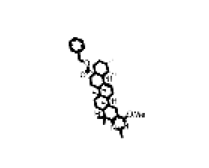 COc1nc(C)nc2c1C[C@]1(C)[C@H](CC[C@@]3(C)[C@H]1CC=C1[C@@H]4[C@@H](C)[C@@H](C)CC[C@]4(C(=O)OCc4ccccc4)CC[C@]13C)C2(C)C